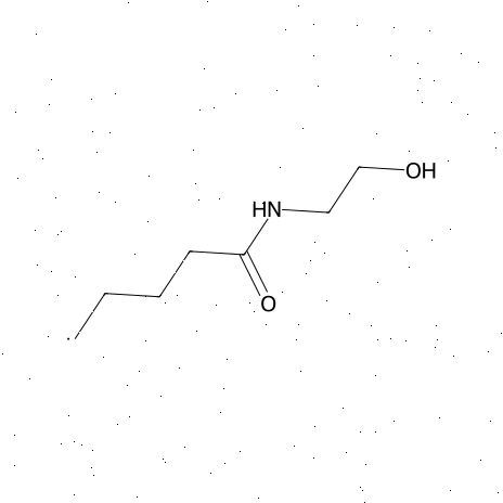 [CH2]CCCC(=O)NCCO